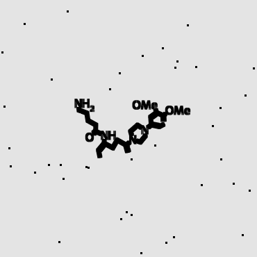 C=C(OC)/C(=C\C(=C/C)N1CCN(C(=C)CC/C(=C\C)NC(=O)CCCCN)CC1)OC